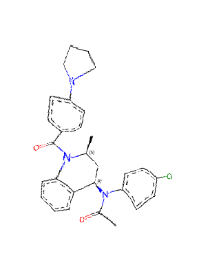 CC(=O)N(c1ccc(Cl)cc1)[C@@H]1C[C@H](C)N(C(=O)c2ccc(N3CCCC3)cc2)c2ccccc21